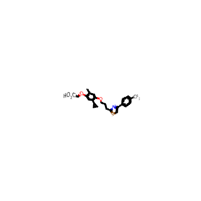 Cc1cc(OCCCc2nc(-c3ccc(C(F)(F)F)cc3)cs2)c(C2CC2)cc1OCC(=O)O